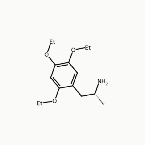 CCOc1cc(OCC)c(OCC)cc1C[C@@H](C)N